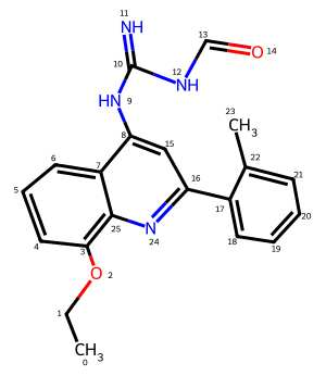 CCOc1cccc2c(NC(=N)NC=O)cc(-c3ccccc3C)nc12